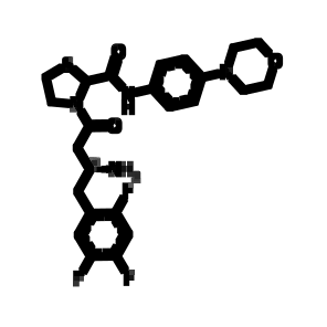 N[C@@H](CC(=O)N1CCSC1C(=O)Nc1ccc(N2CCOCC2)cc1)Cc1cc(F)c(F)cc1F